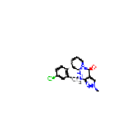 Cn1cc(C(=O)N2CCC[C@@H](c3ccc(Cl)cc3C(F)(F)F)C2)c(N)n1